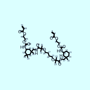 C=CC(=O)OCCOC(=O)NC1CCCC(C)(CNC(=O)C(C)(C)OCCCCOC(C)(C)C(=O)NCC2(C)CC(NC(=O)OCCOC(=O)C=C)CC(C)(C)C2)C1